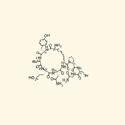 CC[C@H](C)C1NC(=O)[C@H](Cc2ccc(O)cc2)NC(=O)[C@@H](N)CSSC[C@@H](C(=O)N2CCC[C@H]2C(=O)N[C@@H](CC(C)C)C(=O)NCC(N)=O)NC(=O)[C@H](CC(N)=O)NC(=O)[C@H](CCC(=O)O)NC1=O